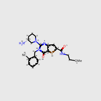 COCCNC(=O)c1cc2nc(N3CCC[C@@H](N)C3)n(Cc3ccccc3C#N)c(=O)c2s1